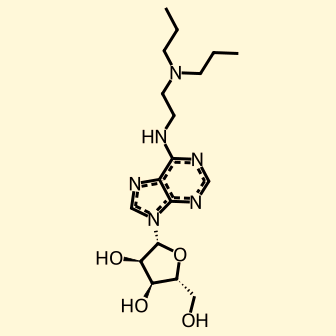 CCCN(CCC)CCNc1ncnc2c1ncn2[C@@H]1O[C@H](CO)[C@@H](O)[C@H]1O